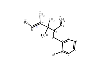 C=NN(Cc1ccccc1F)C(C)(C)/C(C)=N/O